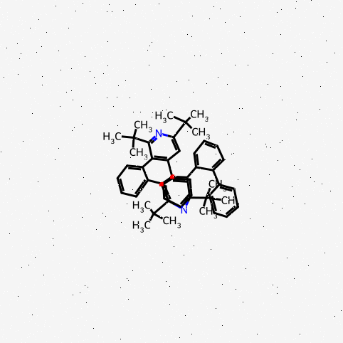 CC(C)(C)c1cc(-c2cc(C(C)(C)C)nc(C(C)(C)C)c2-c2ccccc2-c2ccccc2)c(-c2ccccc2-c2ccccc2)c(C(C)(C)C)n1